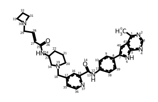 Cc1ncnc2[nH]c(-c3ccc(NC(=O)c4cc(CN5CCCC(NC(=O)C=CCN6CCC6)C5)ccn4)cc3)cc12